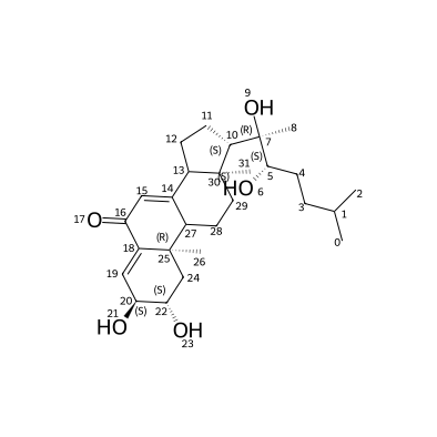 CC(C)CC[C@H](O)[C@](C)(O)[C@H]1CCC2C3=CC(=O)C4=C[C@H](O)[C@@H](O)C[C@]4(C)C3CC[C@@]21C